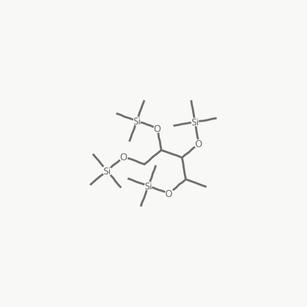 CC(O[Si](C)(C)C)C(O[Si](C)(C)C)C(CO[Si](C)(C)C)O[Si](C)(C)C